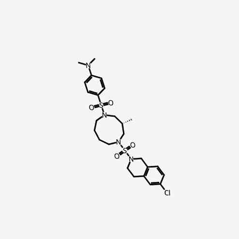 C[C@H]1CN(S(=O)(=O)c2ccc(N(C)C)cc2)CCCCN(S(=O)(=O)N2CCc3cc(Cl)ccc3C2)C1